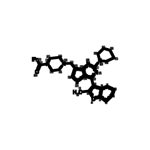 Cc1oc2ccccc2c1-c1nc(N2CCCCC2)nc2c(CN3CCN(C(=O)C(C)C)CC3)csc12